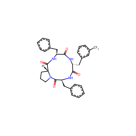 O=C1N[C@H](Cc2cccc(C(F)(F)F)c2)C(=O)N[C@@H](Cc2ccccc2)C(=O)N2CCC[C@@H]2C(=O)N[C@H]1Cc1ccccc1